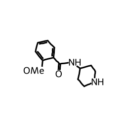 COc1ccccc1C(=O)NC1CCNCC1